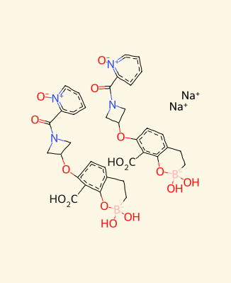 O=C(O)c1c(OC2CN(C(=O)c3cccc[n+]3[O-])C2)ccc2c1O[B-](O)(O)CC2.O=C(O)c1c(OC2CN(C(=O)c3cccc[n+]3[O-])C2)ccc2c1O[B-](O)(O)CC2.[Na+].[Na+]